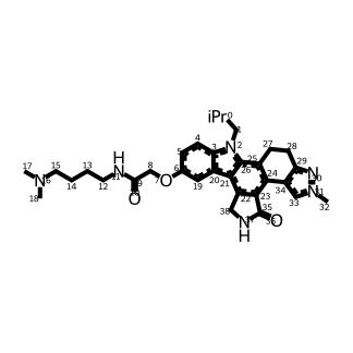 CC(C)Cn1c2ccc(OCC(=O)NCCCCN(C)C)cc2c2c3c(c4c(c21)CCc1nn(C)cc1-4)C(=O)NC3